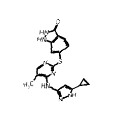 Cc1cnc(Sc2ccc3c(=O)[nH][nH]c3c2)nc1Nc1cc(C2CC2)[nH]n1